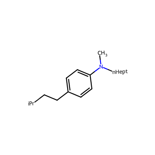 CCCCCCCN(C)c1ccc(CCC(C)C)cc1